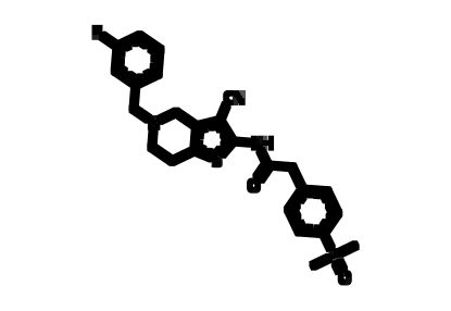 CP(C)(=O)c1ccc(CC(=O)Nc2sc3c(c2C#N)CN(Cc2cccc(F)c2)CC3)cc1